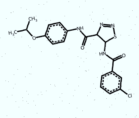 CC(C)Oc1ccc(NC(=O)C2N=NSC2NC(=O)c2cccc(Cl)c2)cc1